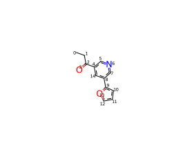 CCC(=O)c1cncc(-c2ccco2)c1